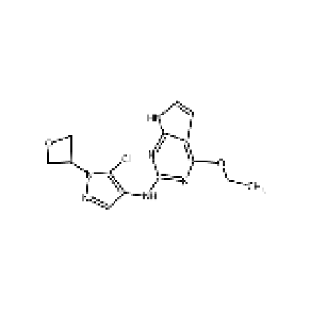 CCOc1nc(Nc2cnn(C3COC3)c2Cl)nc2[nH]ccc12